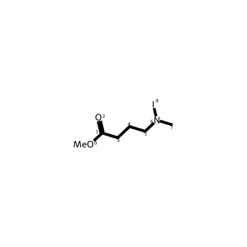 COC(=O)CCCN(C)I